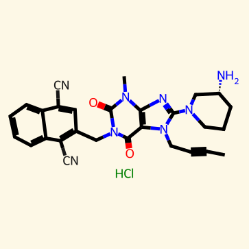 CC#CCn1c(N2CCC[C@@H](N)C2)nc2c1c(=O)n(Cc1cc(C#N)c3ccccc3c1C#N)c(=O)n2C.Cl